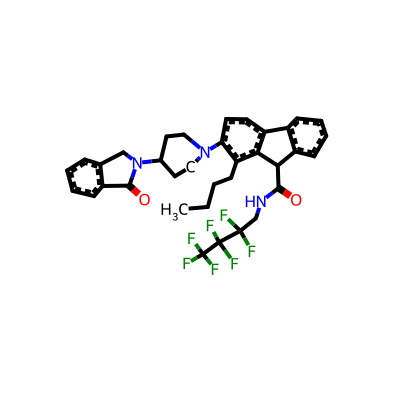 CCCCc1c(N2CCC(N3Cc4ccccc4C3=O)CC2)ccc2c1C(C(=O)NCC(F)(F)C(F)(F)C(F)(F)F)c1ccccc1-2